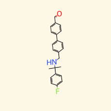 CC(C)(NCc1ccc(-c2ccc(C=O)cc2)cc1)c1ccc(F)cc1